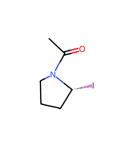 CC(=O)N1CCC[C@H]1I